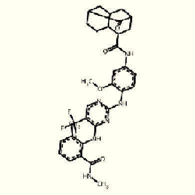 CNC(=O)c1cccc(C)c1Nc1nc(Nc2ccc(NC(=O)C3CC4CC5CC(CCC53)C4=O)cc2OC)ncc1C(F)(F)F